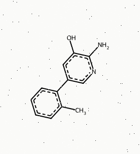 Cc1ccccc1-c1cnc(N)c(O)c1